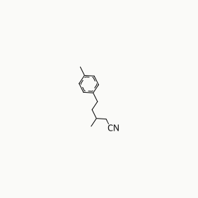 Cc1ccc(CCC(C)CC#N)cc1